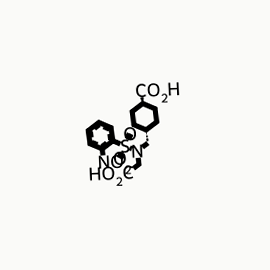 O=C(O)CN(C[C@H]1CC[C@H](C(=O)O)CC1)S(=O)(=O)c1ccccc1[N+](=O)[O-]